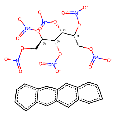 O=[N+]([O-])OC[C@@H](O[N+](=O)[O-])[C@@H](O[N+](=O)[O-])[C@H](O[N+](=O)[O-])[C@@H](CO[N+](=O)[O-])O[N+](=O)[O-].c1ccc2cc3cc4ccccc4cc3cc2c1